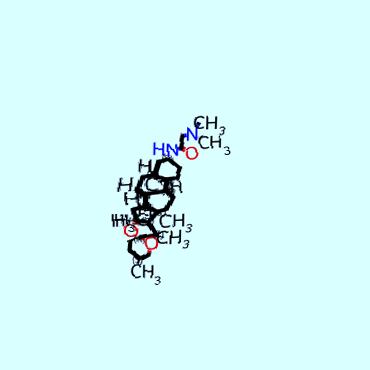 C[C@H]1CC[C@@]2(OC1)O[C@H]1C[C@H]3[C@@H]4CC[C@@H]5C[C@H](NC(=O)CN(C)C)CC[C@]5(C)[C@H]4CC[C@]3(C)[C@@]1(C)[C@@H]2C